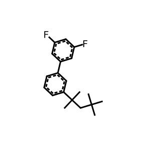 CC(C)(C)CC(C)(C)c1cccc(-c2cc(F)cc(F)c2)c1